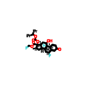 CC(C)C(OC(=O)O[C@]1(C(=O)OCF)[C@H](C)C[C@H]2[C@@H]3C[C@H](F)C4=CC(=O)C=C[C@]4(C)[C@@]3(F)[C@@H](O)C[C@@]21C)C(C)C